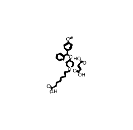 COc1ccc(C(OC2CCN(CCCCCCCC(=O)O)CC2)c2ccccc2)cc1.O=C(O)C=CC(=O)O